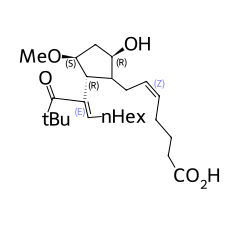 CCCCCC/C=C(/C(=O)C(C)(C)C)[C@H]1C(C/C=C\CCCC(=O)O)[C@H](O)C[C@@H]1OC